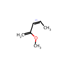 C=C(/C=C\C)OC